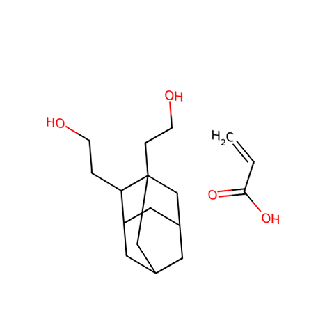 C=CC(=O)O.OCCC1C2CC3CC(C2)CC1(CCO)C3